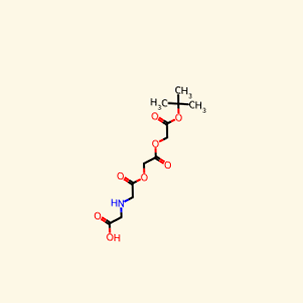 CC(C)(C)OC(=O)COC(=O)COC(=O)CNCC(=O)O